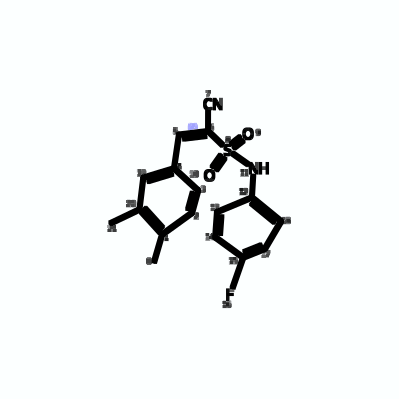 Cc1ccc(/C=C(/C#N)S(=O)(=O)Nc2ccc(F)cc2)cc1C